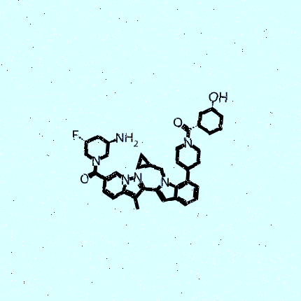 Cc1c(-c2cc3cccc(C4CCN(C(=O)[C@H]5CCC[C@@H](O)C5)CC4)c3n2CC2CC2)nn2cc(C(=O)N3C[C@H](N)C[C@@H](F)C3)ccc12